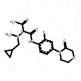 CN(CC1CC1)[C@@H](C(N)=O)C(=O)Nc1ccc(N2CCOCC2=O)cc1F